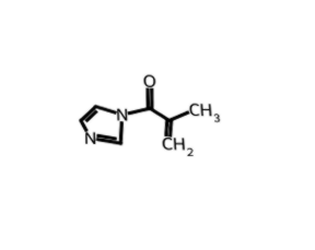 C=C(C)C(=O)n1ccnc1